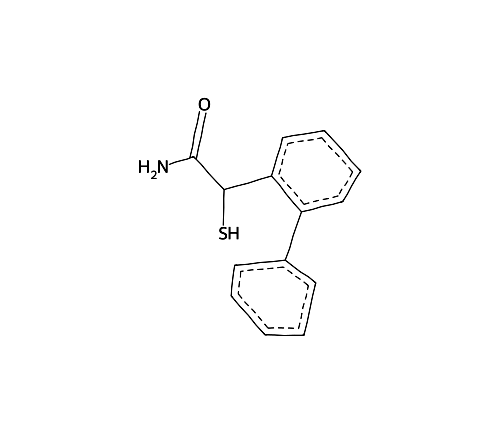 NC(=O)C(S)c1ccccc1-c1ccccc1